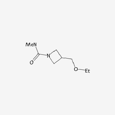 CCOCC1CN(C(=O)NC)C1